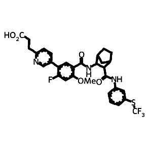 COc1cc(F)c(-c2ccc(CCC(=O)O)nc2)cc1C(=O)NC1C2CCC(C2)C1C(=O)Nc1cccc(SC(F)(F)F)c1